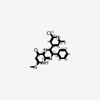 CSc1cc(=O)c2nc(-c3cc(C)nc(Cl)c3)c(-c3ccccc3)nc2[nH]1